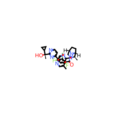 Cc1cnc(-c2ccnc([C@](C)(O)C3CC3)n2)c(F)c1C(=O)N1C[C@@H]2CC[C@H]([C@H]1C)N2Cc1ncc(F)cc1F